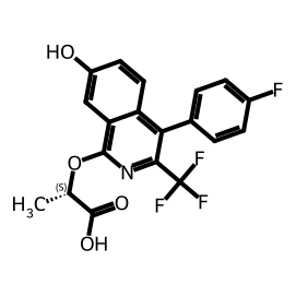 C[C@H](Oc1nc(C(F)(F)F)c(-c2ccc(F)cc2)c2ccc(O)cc12)C(=O)O